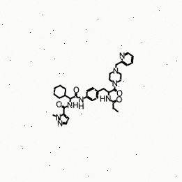 CCC(=O)NC(Cc1ccc(NC(=O)C(NC(=O)c2ccnn2C)C2CCCCC2)cc1)C(=O)N1CCN(Cc2ccccn2)CC1